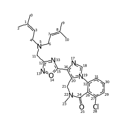 CC(C)=CCN(CC=C(C)C)Cc1noc(-c2ncn3c2CN(C)C(=O)c2c(Cl)cccc2-3)n1